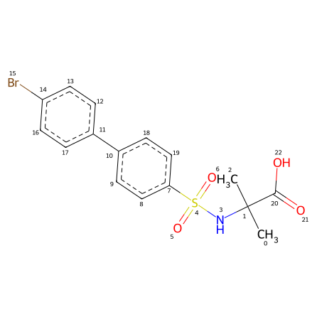 CC(C)(NS(=O)(=O)c1ccc(-c2ccc(Br)cc2)cc1)C(=O)O